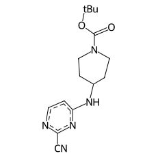 CC(C)(C)OC(=O)N1CCC(Nc2ccnc(C#N)n2)CC1